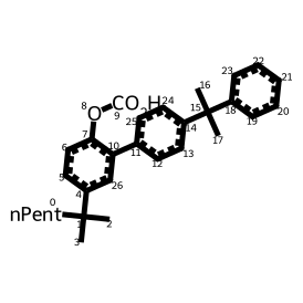 CCCCCC(C)(C)c1ccc(OC(=O)O)c(-c2ccc(C(C)(C)c3ccccc3)cc2)c1